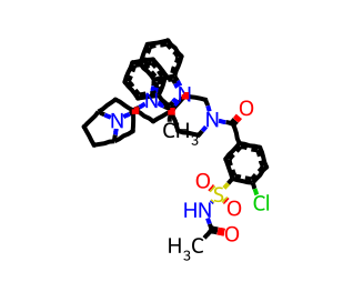 CC(=O)NS(=O)(=O)c1cc(C(=O)N2CCC(CCN3C4CCC3CC(n3c(C)nc5ccccc53)C4)(c3ccccc3)CC2)ccc1Cl